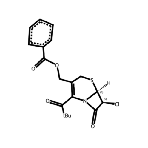 CC(C)(C)C(=O)C1=C(COC(=O)c2ccccc2)CS[C@H]2[C@@H](Cl)C(=O)N12